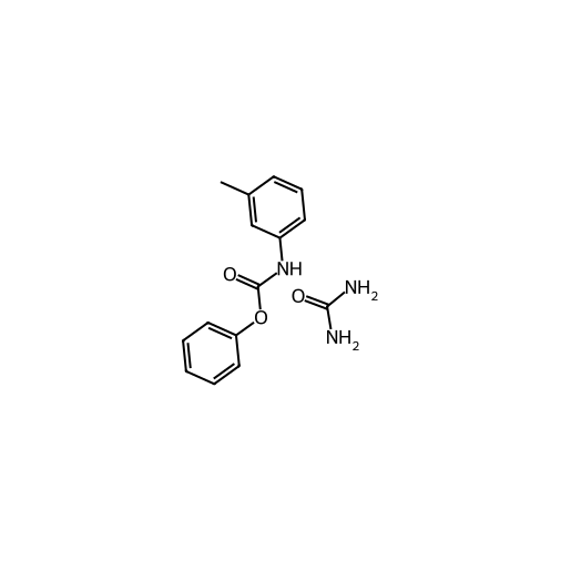 Cc1cccc(NC(=O)Oc2ccccc2)c1.NC(N)=O